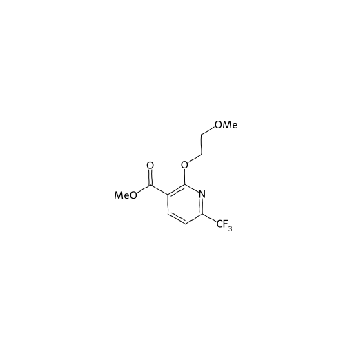 COCCOc1nc(C(F)(F)F)ccc1C(=O)OC